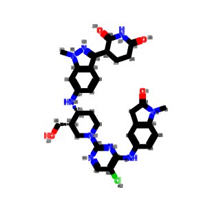 CN1C(=O)Cc2cc(Nc3nc(N4CC[C@@H](Nc5ccc6c(C7CCC(=O)NC7=O)nn(C)c6c5)[C@@H](CO)C4)ncc3Cl)ccc21